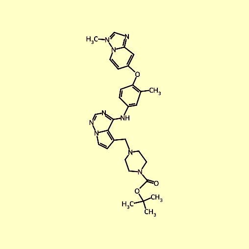 Cc1cc(Nc2ncnn3ccc(CN4CCN(C(=O)OC(C)(C)C)CC4)c23)ccc1Oc1ccn2c(c1)nc[n+]2C